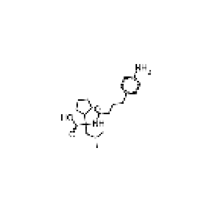 CC(C)C[C@@](NC(=O)CCCc1ccc(N)cc1)(C(=O)O)C1CCCC1